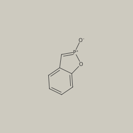 [O-][p+]1cc2ccccc2o1